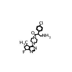 C[C@@H]1C[C@H](F)c2ncnc(N3CCN(C(=O)C(CN)c4ccc(Cl)cc4)CC3)c21